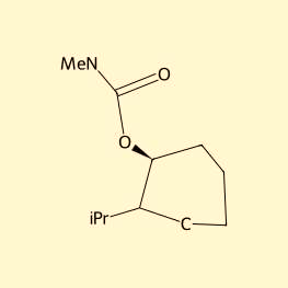 CNC(=O)O[C@H]1CCCCC1C(C)C